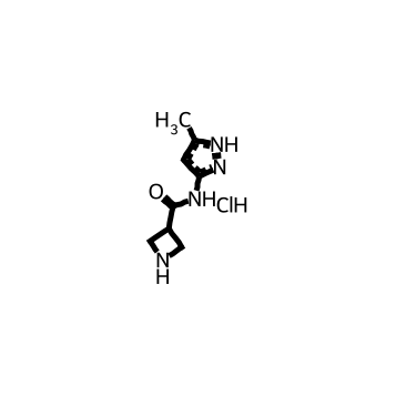 Cc1cc(NC(=O)C2CNC2)n[nH]1.Cl